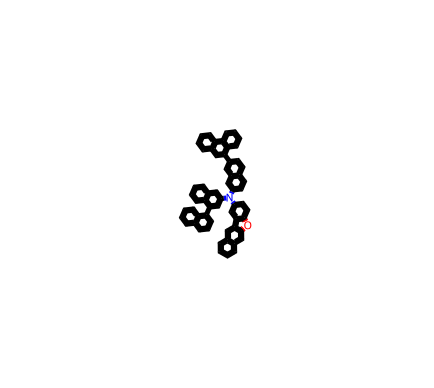 c1ccc2cc3c(cc2c1)oc1ccc(N(c2ccc4ccc(-c5cc6ccccc6c6ccccc56)cc4c2)c2cc(-c4cccc5ccccc45)c4ccccc4c2)cc13